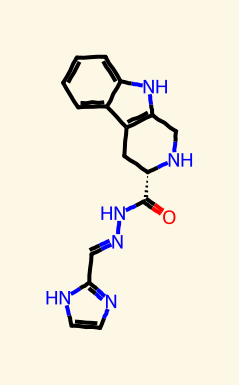 O=C(N/N=C/c1ncc[nH]1)[C@@H]1Cc2c([nH]c3ccccc23)CN1